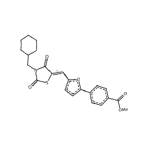 COC(=O)c1ccc(-c2ccc(/C=C3\SC(=O)N(CC4CCCCC4)C3=O)o2)cc1